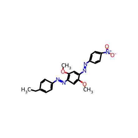 CCc1ccc(N=Nc2cc(OC)c(N=Nc3ccc([N+](=O)[O-])cc3)cc2OC)cc1